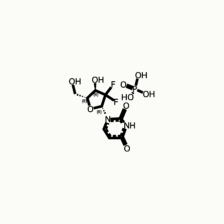 O=P(O)(O)O.O=c1ccn([C@@H]2O[C@H](CO)[C@@H](O)C2(F)F)c(=O)[nH]1